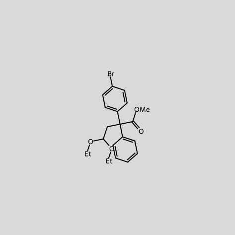 CCOC(CC(C(=O)OC)(c1ccccc1)c1ccc(Br)cc1)OCC